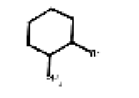 PC1CCCCC1Br